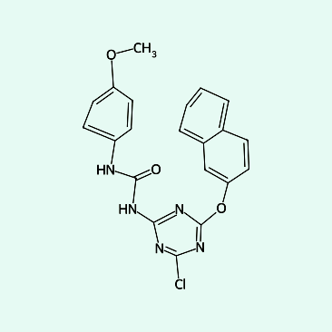 COc1ccc(NC(=O)Nc2nc(Cl)nc(Oc3ccc4ccccc4c3)n2)cc1